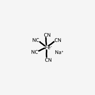 N#[C][Fe-]([C]#N)([C]#N)([C]#N)[C]#N.[Na+]